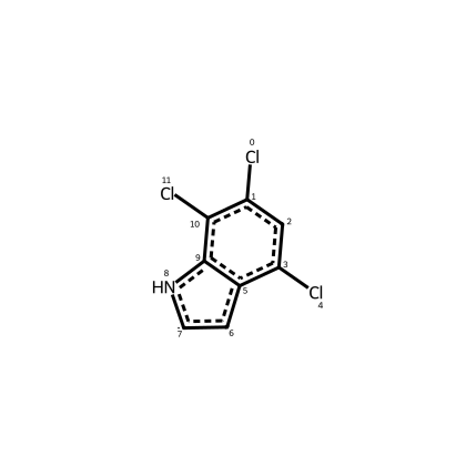 Clc1cc(Cl)c2c[c][nH]c2c1Cl